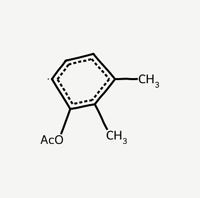 CC(=O)Oc1[c]ccc(C)c1C